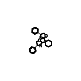 c1ccc([C@@H]2COC(C3(C4=N[C@H](c5ccccc5)CO4)CCCCC3)=N2)cc1